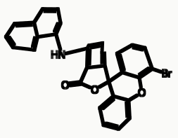 O=C1OC2(c3ccccc3Oc3c(Br)cccc32)c2cccc(Nc3cccc4ccccc34)c21